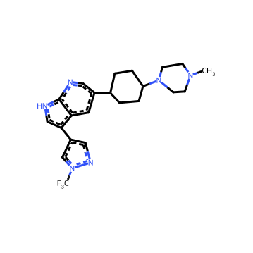 CN1CCN(C2CCC(c3cnc4[nH]cc(-c5cnn(C(F)(F)F)c5)c4c3)CC2)CC1